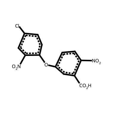 O=C(O)c1cc(Oc2ccc(Cl)cc2[N+](=O)[O-])ccc1[N+](=O)[O-]